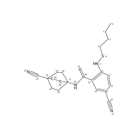 CCCCSNc1ccc(C#N)cc1C(=O)NC12CCC(C#N)(CC1)CC2